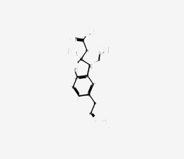 C=CCc1ccc2c(c1)[C@H](CC)[C@](O)(CC(=O)O)O2